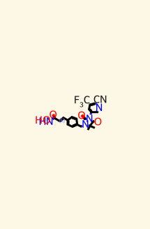 CC1(C)C(=O)N(c2cnc(C#N)c(C(F)(F)F)c2)C(=O)N1Cc1ccc(/C=C/C(=O)NO)cc1